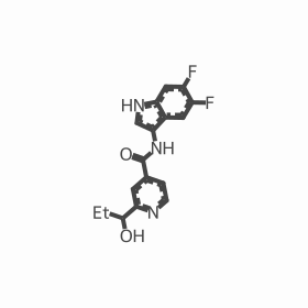 CCC(O)c1cc(C(=O)Nc2c[nH]c3cc(F)c(F)cc23)ccn1